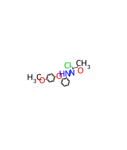 COc1ccc(Oc2ccccc2NN=C(Cl)C(C)=O)cc1